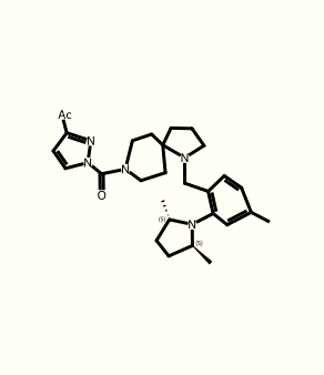 CC(=O)c1ccn(C(=O)N2CCC3(CCCN3Cc3ccc(C)cc3N3[C@@H](C)CC[C@@H]3C)CC2)n1